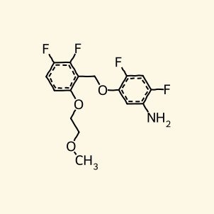 COCCOc1ccc(F)c(F)c1COc1cc(N)c(F)cc1F